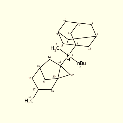 CCCC[PH](C)(C12CC3CC(CC(C3)C1)C2)C12CC3CC(C)CC1(C3)C2